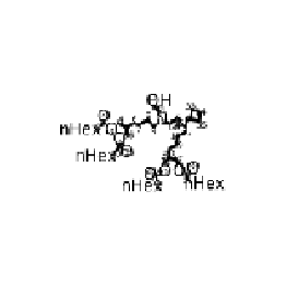 CCCCCCC(=O)OCC(CCCCN(CCO)CCN(CCCCC(COC(=O)CCCCCC)COC(=O)CCCCCC)C1CCC1)COC(=O)CCCCCC